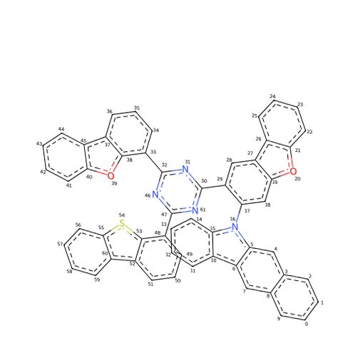 c1ccc2cc3c(cc2c1)c1ccccc1n3-c1cc2oc3ccccc3c2cc1-c1nc(-c2cccc3c2oc2ccccc23)nc(-c2cccc3c2sc2ccccc23)n1